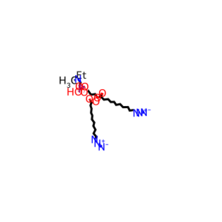 CCN(C)COP(=O)(O)OCC(COC(=O)CCCCCCCCCCN=[N+]=[N-])OC(=O)CCCCCCCCCCN=[N+]=[N-]